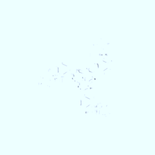 Cc1ccc(C2=NC3=NC(c4ccc(F)c(C(C)(C)C5CCC5)c4)=NC4=NC(c5ccc(F)c(C(C)(C)C6CCC6)c5)=NC(=N2)N34)cc1C(C)(C)C1CCC1